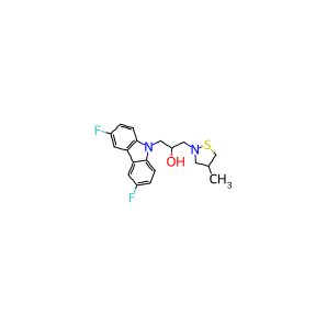 CC1CSN(CC(O)Cn2c3ccc(F)cc3c3cc(F)ccc32)C1